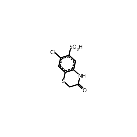 O=C1CSc2cc(Cl)c(S(=O)(=O)O)cc2N1